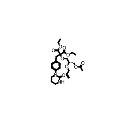 C=CCO[C@@H](COC(C)=O)COC(Cc1ccc(N2CCCNC2=O)cc1)(C(=O)OCC)C(=O)OCC